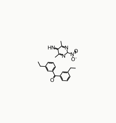 CC1=NC([N+](=O)[O-])N=C(C)C1=N.CCc1cccc(C(=O)c2cccc(CC)c2)c1